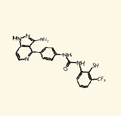 Nc1n[nH]c2ccnc(-c3ccc(NC(=O)Nc4cccc(C(F)(F)F)c4S)cc3)c12